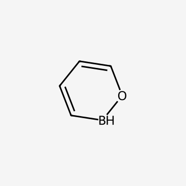 B1C=CC=CO1